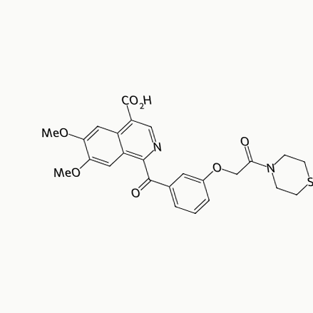 COc1cc2c(C(=O)O)cnc(C(=O)c3cccc(OCC(=O)N4CCSCC4)c3)c2cc1OC